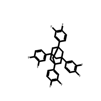 Fc1ccc(C23CC4(c5ccc(F)c(F)c5)CC(c5ccc(F)c(F)c5)(C2)CC(c2ccc(F)c(F)c2)(C3)C4)cc1F